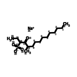 CCCCCCCCCCC(C)C(=O)C(CN)S(=O)(=O)[O-].[Na+]